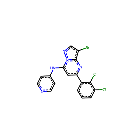 Clc1cccc(-c2cc(Nc3ccncc3)n3ncc(Br)c3n2)c1Cl